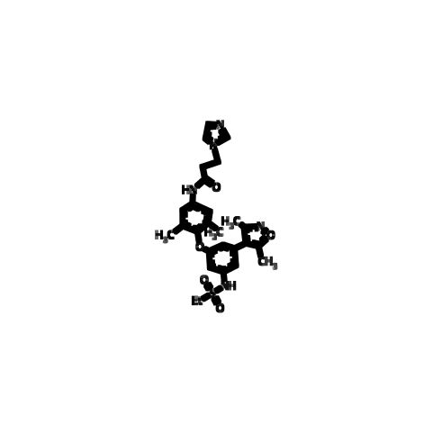 CCS(=O)(=O)Nc1cc(Oc2c(C)cc(NC(=O)CCn3ccnc3)cc2C)cc(-c2c(C)noc2C)c1